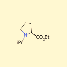 CCOC(=O)[C@@H]1CCCN1C(C)C